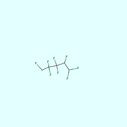 F[CH]C(F)(F)C(F)(F)C(F)C(F)F